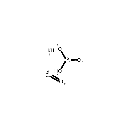 [KH].[O-][I+2]([O-])O.[O]=[Cu]